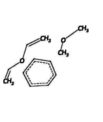 C=COC=C.COC.c1ccccc1